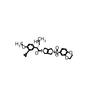 CNC[C@H](C(=O)N1CC2=C(C1)CN(S(=O)(=O)c1ccc3c(c1)OCCO3)C2)c1ccc(OC)c(C2CC2)c1